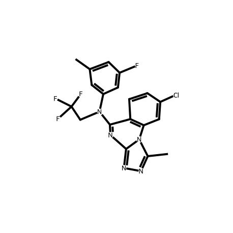 Cc1cc(F)cc(N(CC(F)(F)F)c2nc3nnc(C)n3c3cc(Cl)ccc23)c1